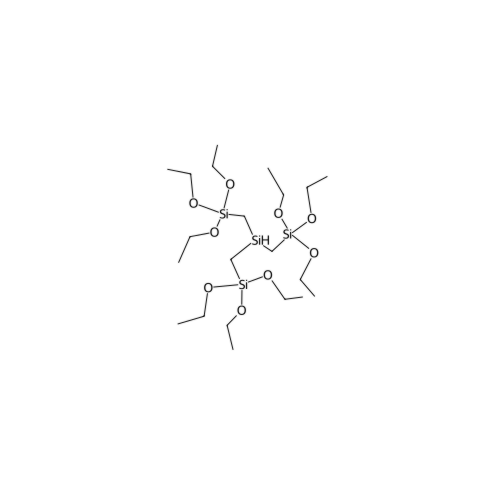 CCO[Si](C[SiH](C[Si](OCC)(OCC)OCC)C[Si](OCC)(OCC)OCC)(OCC)OCC